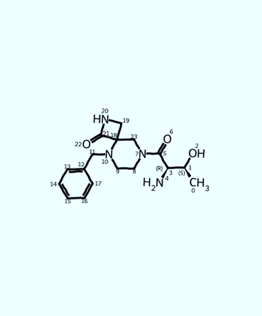 C[C@H](O)[C@@H](N)C(=O)N1CCN(Cc2ccccc2)C2(CNC2=O)C1